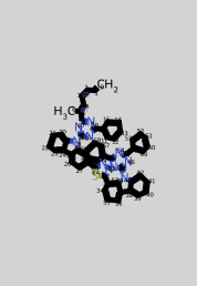 C=C/C=C\C=C(/C)c1nc(-c2ccccc2)nc(-n2c3ccccc3c3ccc(-c4nnc(-c5cccc6c7ccccc7n(-c7nc(-c8ccccc8)nc(-c8ccccc8)n7)c56)s4)cc32)n1